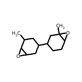 CC1CC(C2CCC3OC3(C)C2)CC2OC12